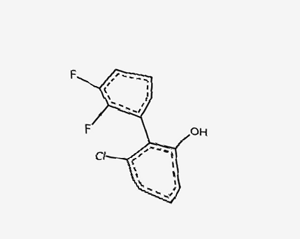 Oc1cccc(Cl)c1-c1cccc(F)c1F